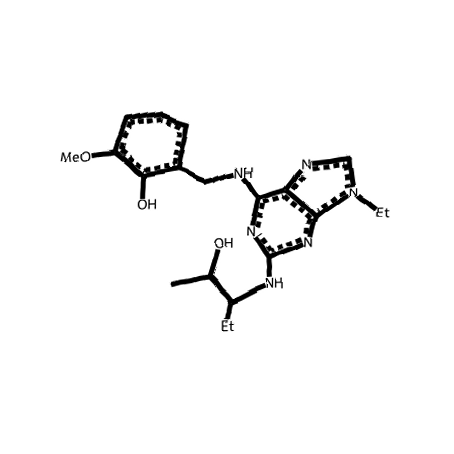 CCC(Nc1nc(NCc2cccc(OC)c2O)c2ncn(CC)c2n1)C(C)O